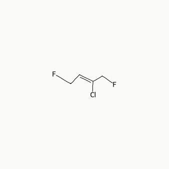 FCC=C(Cl)CF